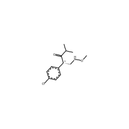 CONC[C@@H](C(=O)C(C)C)c1ccc(Cl)cc1